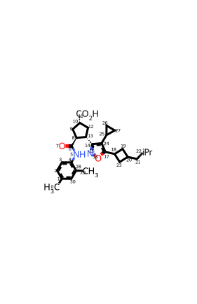 Cc1ccc(NC(=O)[C@H]2C[C@H](C(=O)O)C[C@@H]2c2noc(C3CC(CC(C)C)C3)c2C2CC2)c(C)c1